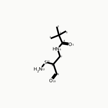 CC(C)(C)C(=O)NCC([C]=O)SN